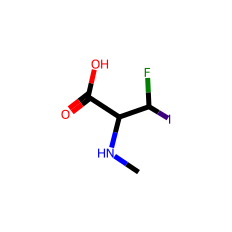 CNC(C(=O)O)C(F)I